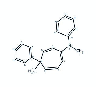 CN(C1=CC=CC(C)(c2ccccc2)C=C1)c1ccccc1